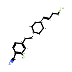 N#Cc1ccc(CC[C@H]2CC[C@H](/C=C/CCF)CC2)cc1F